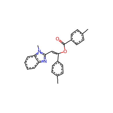 Cc1ccc(C(=O)O/C(=C/c2nc3ccccc3n2C)c2ccc(C)cc2)cc1